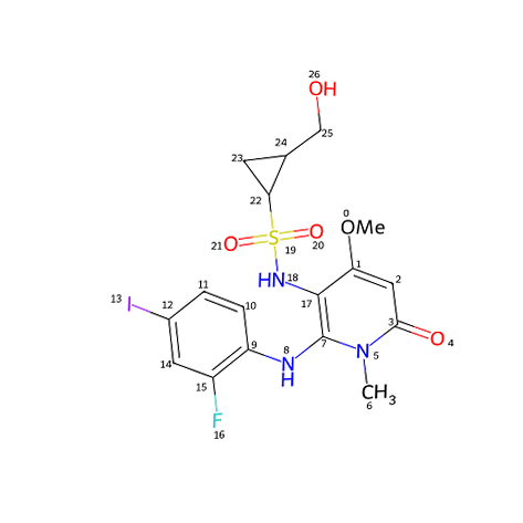 COc1cc(=O)n(C)c(Nc2ccc(I)cc2F)c1NS(=O)(=O)C1CC1CO